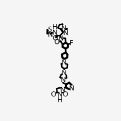 O=C1CCN(c2cnccc2CN2CCN(C3CCN(c4ccc(-c5cc(F)c6c(c5)C(=O)N(C(C(=O)Nc5nccs5)c5ncn7c5CCC7)C6)cc4)CC3)CC2)C(=O)N1